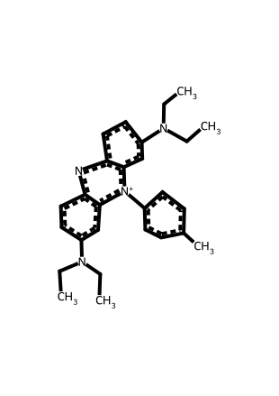 CCN(CC)c1ccc2nc3ccc(N(CC)CC)cc3[n+](-c3ccc(C)cc3)c2c1